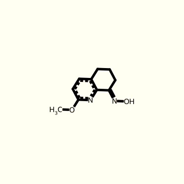 COc1ccc2c(n1)/C(=N/O)CCC2